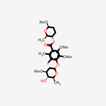 COc1c(O[C@H]2C[C@H](OC)[C@@H](O)[C@H](C)O2)c(I)c(C)c(C(=O)S[C@H]2CC[C@H](OC)O[C@@H]2C)c1OC